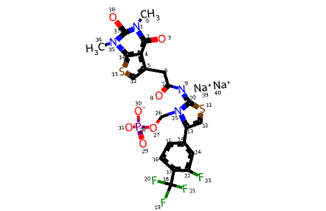 Cn1c(=O)c2c(CC(=O)N=c3scc(-c4ccc(C(F)(F)F)c(F)c4)n3COP(=O)([O-])[O-])csc2n(C)c1=O.[Na+].[Na+]